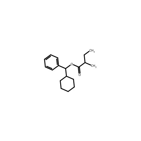 CCC(C)C(=O)OC(c1ccccc1)C1CCCCC1